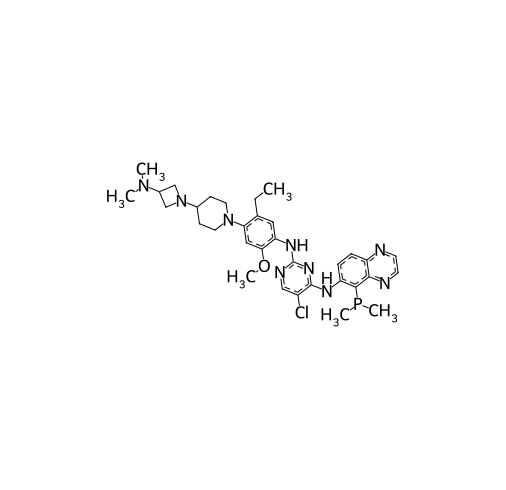 CCc1cc(Nc2ncc(Cl)c(Nc3ccc4nccnc4c3P(C)C)n2)c(OC)cc1N1CCC(N2CC(N(C)C)C2)CC1